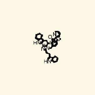 COc1ccc(Cn2c(CCc3c[nH]c4ccccc34)nnc2C(Cc2c[nH]c3ccccc23)NC(=O)Cc2ccccn2)cc1